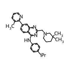 Cc1cccnc1-c1ccc2c(Nc3ccc(C(C)C)cc3)nc(CN3CCCC(C)(C)C3)nc2c1